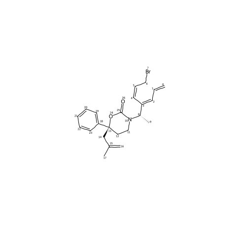 C=C/C=C(\C=C/CBr)[C@H](C)N1CC[C@](CC(=C)C)(c2ccccc2)OC1=O